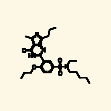 CCCCCN(CC)S(=O)(=O)c1ccc(OCCC)c(-c2nn3c(CCC)nc(C)c3c(=O)[nH]2)c1